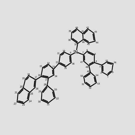 c1ccc(-c2ccc(N(c3ccc(-c4ccc(-c5ccc6ccccc6c5)c(-c5ccccc5)c4)cc3)c3cccc4ccccc34)cc2-c2ccccc2)cc1